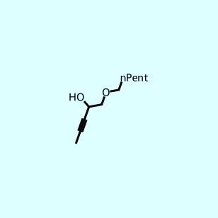 CC#CC(O)COCCCCCC